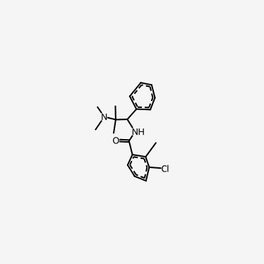 Cc1c(Cl)cccc1C(=O)NC(c1ccccc1)C(C)(C)N(C)C